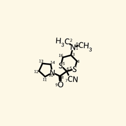 CN(C)C1CSC(C#N)(C(=O)N2CCCC2)SC1